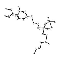 CCOCC(C)COP(=O)(NCCOc1ccc(C(OC)OC)c(C)c1)OC(C)(C)C